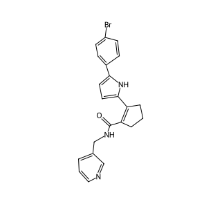 O=C(NCc1cccnc1)C1=C(c2ccc(-c3ccc(Br)cc3)[nH]2)CCC1